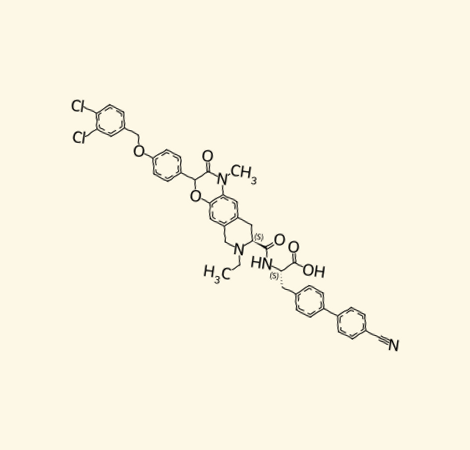 CCN1Cc2cc3c(cc2C[C@H]1C(=O)N[C@@H](Cc1ccc(-c2ccc(C#N)cc2)cc1)C(=O)O)N(C)C(=O)C(c1ccc(OCc2ccc(Cl)c(Cl)c2)cc1)O3